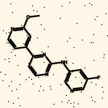 COc1cc(-c2ccnc(Nc3cncc(F)c3)n2)ccn1